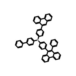 c1ccc(-c2ccc(N(c3ccc(-c4cc5ccccc5c5ccccc45)cc3)c3ccc(-c4c(-c5ccccc5)c5ccccc5c5ccccc45)cc3)cc2)cc1